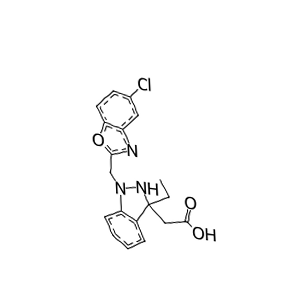 CCC1(CC(=O)O)NN(Cc2nc3cc(Cl)ccc3o2)c2ccccc21